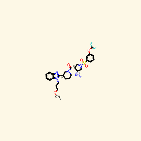 COCCCn1c([C@@H]2CCCN(C(=O)[C@@H]3CN(S(=O)(=O)c4cccc(OC(F)F)c4)C[C@H]3N)C2)nc2ccccc21